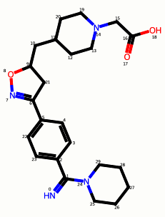 N=C(c1ccc(C2=NOC(CC3CCN(CC(=O)O)CC3)C2)cc1)N1CCCCC1